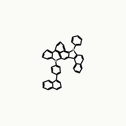 c1ccc(-c2ccccc2N(c2ccc(-c3cccc4ccccc34)cc2)c2ccc3c(c2)c2c4ccccc4ccc2n3-c2ccccc2)cc1